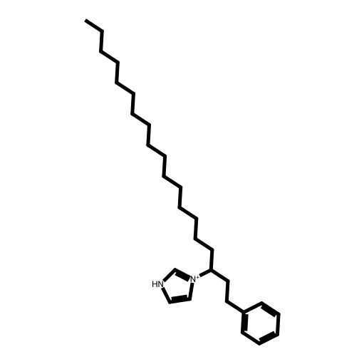 CCCCCCCCCCCCCCCCC(CCc1ccccc1)[n+]1cc[nH]c1